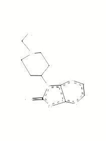 CCN1CCC(n2c(=O)[nH]c3nccnc32)CC1